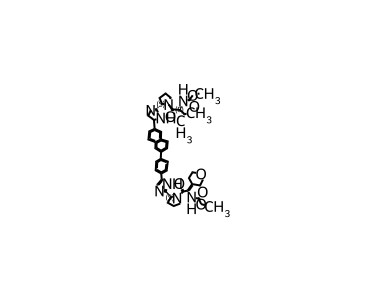 COC(=O)NC(C(=O)N1CCC[C@H]1c1ncc(-c2ccc(-c3ccc4cc(C5CN=C([C@@H]6CCCN6C(=O)[C@@H](NC(=O)OC)C(C)C)N5)ccc4c3)cc2)[nH]1)=C1CCOCC1